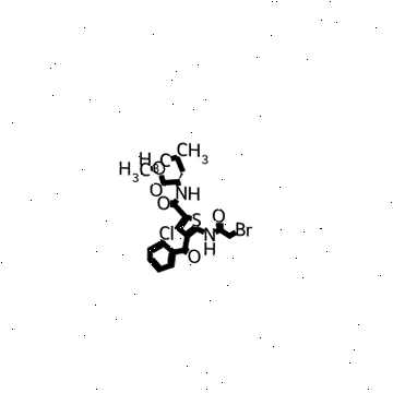 COC(=O)[C@H](CC(C)C)NC(=O)c1cc(C(=O)c2ccccc2Cl)c(NC(=O)CBr)s1